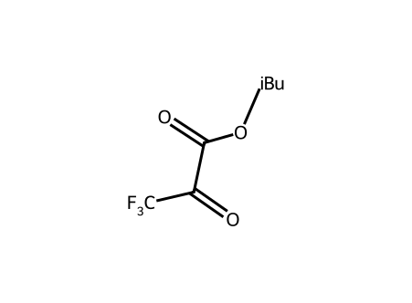 [CH2]C(CC)OC(=O)C(=O)C(F)(F)F